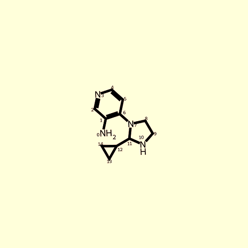 Nc1cnccc1N1CCNC1C1CC1